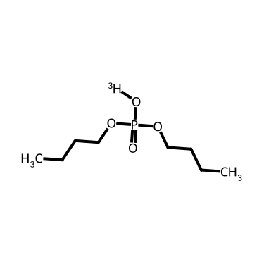 [3H]OP(=O)(OCCCC)OCCCC